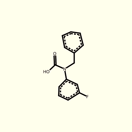 O=C(O)N(Cc1ccccc1)c1cccc(F)c1